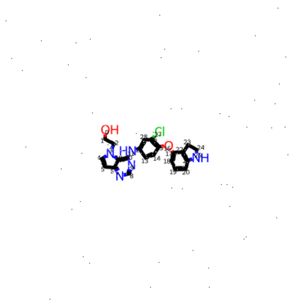 OCCn1ccc2ncnc(Nc3ccc(Oc4cccc5c4CCN5)c(Cl)c3)c21